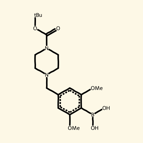 COc1cc(CN2CCN(C(=O)OC(C)(C)C)CC2)cc(OC)c1B(O)O